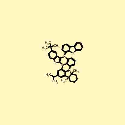 CC(C)c1cc2c3c(c1)C1(C)CCCCC1(C)N3c1cccc3c1B2c1sc2ccc(C(C)(C)C)cc2c1N3c1cccc2c1oc1ccccc12